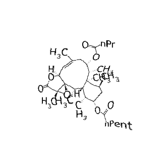 CCCCCC(=O)O[C@H]1C[C@H](C)[C@@]2(C)[C@H]([C@H]1C)[C@H](C)[C@]13O[C@]1(C)C(=O)O[C@H]3/C=C(/C)C[C@H](OC(=O)CCC)[C@@H]2C